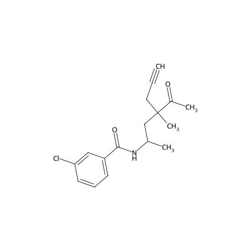 C#CCC(C)(CC(C)NC(=O)c1cccc(Cl)c1)C(C)=O